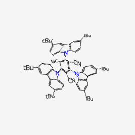 CC(C)(C)c1ccc2c(c1)c1cc(C(C)(C)C)ccc1n2-c1c(C#N)c(-n2c3ccc(C(C)(C)C)cc3c3cc(C(C)(C)C)ccc32)c(C#N)c(-n2c3ccc(C(C)(C)C)cc3c3cc(C(C)(C)C)ccc32)c1C#N